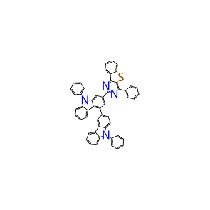 c1ccc(-c2nc(-c3cc(-c4ccc5c(c4)c4ccccc4n5-c4ccccc4)c4c5ccccc5n(-c5ccccc5)c4c3)nc3c2sc2ccccc23)cc1